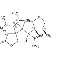 C=C(C)[C@H]([C@H](C)O)C12C(OC(=O)[C@@H]1O)OC1(C(=O)OC)C2(C)CC2OC[C@@H](C)[C@@]21O